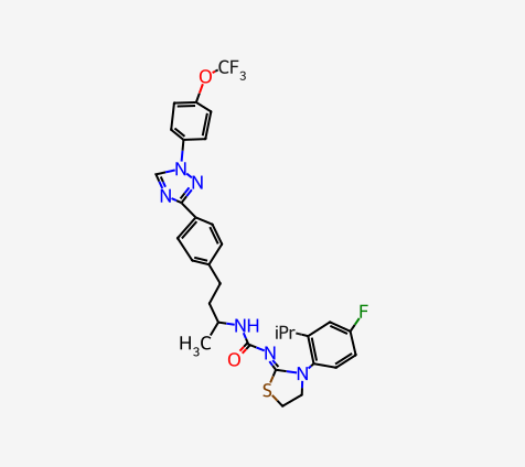 CC(CCc1ccc(-c2ncn(-c3ccc(OC(F)(F)F)cc3)n2)cc1)NC(=O)/N=C1\SCCN1c1ccc(F)cc1C(C)C